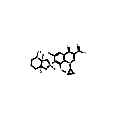 COc1c([N+]2([O-])C[C@@H]3CCCN(O)[C@@H]3C2)c(F)cc2c(=O)c(C(=O)O)cn(C3CC3)c12